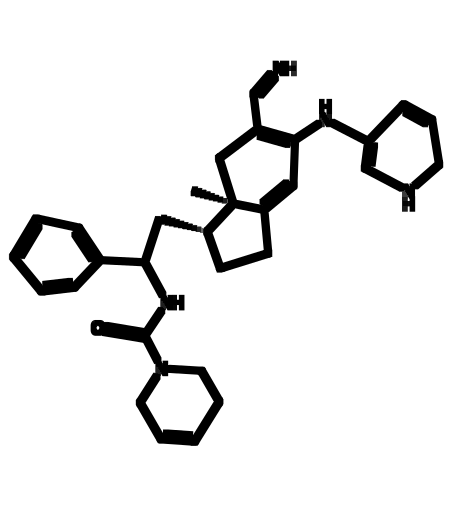 C[C@]12CC(C=N)=C(NC3=CNCC=C3)C=C1CC[C@@H]2CC(NC(=O)N1CC=CCC1)c1ccccc1